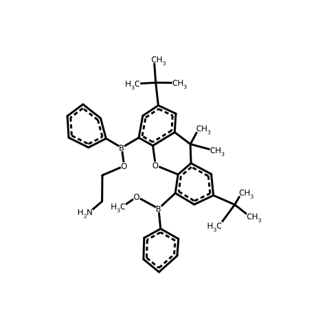 COB(c1ccccc1)c1cc(C(C)(C)C)cc2c1Oc1c(B(OCCN)c3ccccc3)cc(C(C)(C)C)cc1C2(C)C